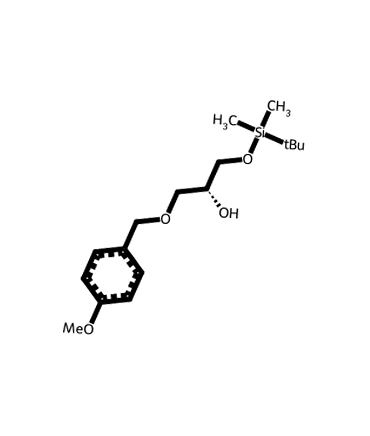 COc1ccc(COC[C@@H](O)CO[Si](C)(C)C(C)(C)C)cc1